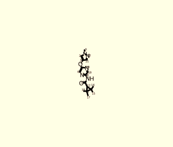 Cn1cc(Oc2cnc(NC(=O)C3C(C)(C)C3(C)C)cn2)cn1